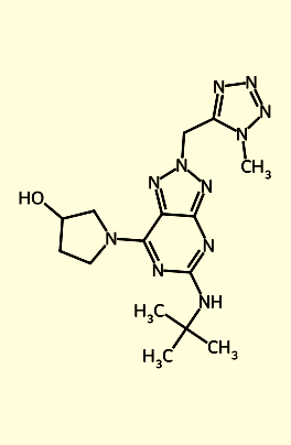 Cn1nnnc1Cn1nc2nc(NC(C)(C)C)nc(N3CCC(O)C3)c2n1